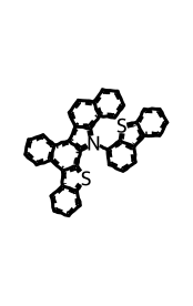 c1ccc2c(c1)ccc1c3c4ccccc4c4c5ccccc5sc4c3n(-c3cccc4c3sc3ccccc34)c21